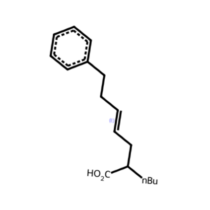 CCCCC(C/C=C/CCc1ccccc1)C(=O)O